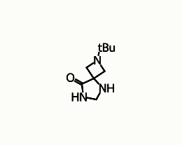 CC(C)(C)N1CC2(C1)NCNC2=O